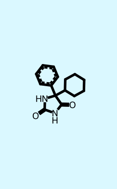 O=C1NC(=O)C(c2ccccc2)(C2CCCCC2)N1